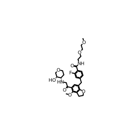 COCCOCCNC(=O)c1ccc(Cc2cc(C(=O)CN[C@H]3CCOC[C@@H]3O)c(OC)c3c2OCC3)cc1F